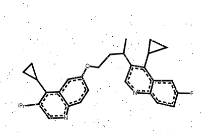 CC(C)c1cnc2ccc(OCCC(C)c3cnc4ccc(F)cc4c3C3CC3)cc2c1C1CC1